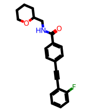 O=C(NCC1CCCCO1)c1ccc(C#Cc2ccccc2F)cc1